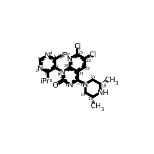 CC(C)c1ncnc(C(C)C)c1-n1c(=O)nc(N2C[C@@H](C)N[C@@H](C)C2)c2cc(Cl)c(Cl)nc21